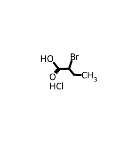 CCC(Br)C(=O)O.Cl